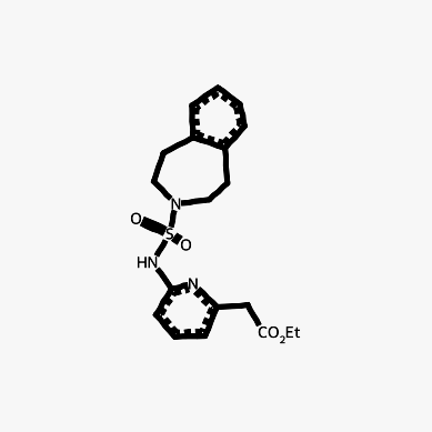 CCOC(=O)Cc1cccc(NS(=O)(=O)N2CCc3ccccc3CC2)n1